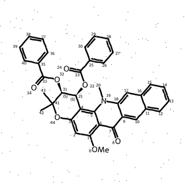 COc1cc2c(c3c1c(=O)c1cc4ccccc4cc1n3C)[C@H](OC(=O)c1ccccc1)[C@H](OC(=O)c1ccccc1)C(C)(C)O2